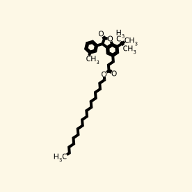 CCCCCCCCCCCCCCCCCCOC(=O)CCc1cc2c(c(C(C)(C)C)c1)OC(=O)C2c1cccc(C)c1